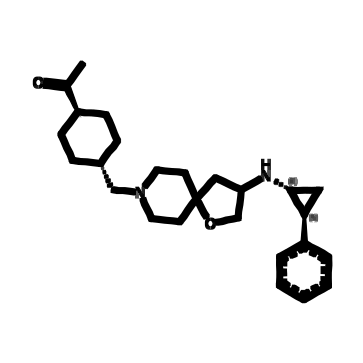 CC(=O)[C@H]1CC[C@H](CN2CCC3(CC2)CC(N[C@@H]2C[C@H]2c2ccccc2)CO3)CC1